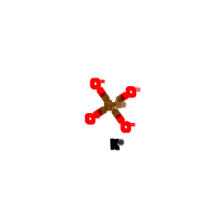 [K+].[O-][Br+3]([O-])([O-])[O-]